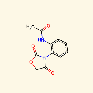 CC(=O)Nc1ccccc1N1C(=O)COC1=O